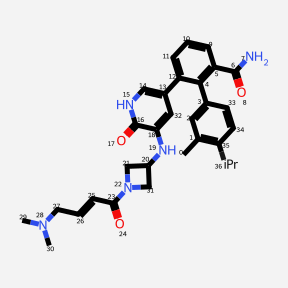 Cc1cc(-c2c(C(N)=O)cccc2-c2c[nH]c(=O)c(NC3CN(C(=O)/C=C/CN(C)C)C3)c2)ccc1C(C)C